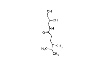 CC(C)C(C)CCC(=O)NCC(O)CO